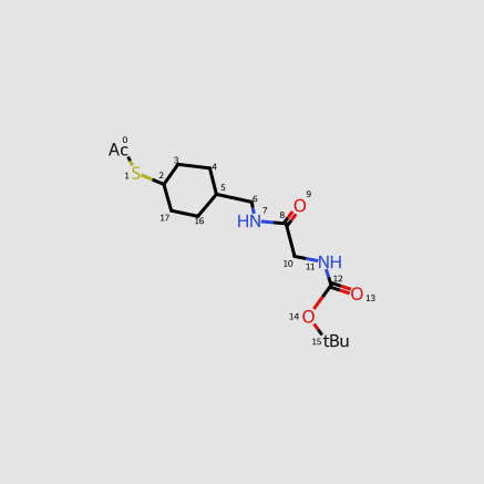 CC(=O)SC1CCC(CNC(=O)CNC(=O)OC(C)(C)C)CC1